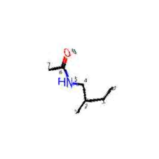 [CH2]CC(C)CNC(C)=O